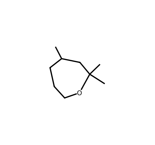 CC1CCCOC(C)(C)C1